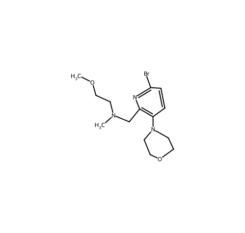 COCCN(C)Cc1nc(Br)ccc1N1CCOCC1